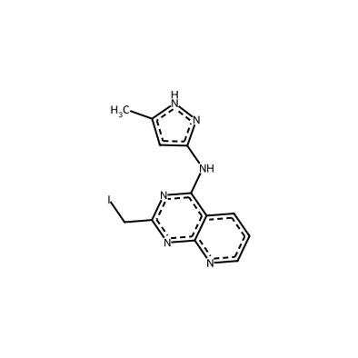 Cc1cc(Nc2nc(CI)nc3ncccc23)n[nH]1